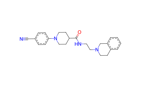 N#Cc1ccc(N2CCC(C(=O)NCCN3CCc4ccccc4C3)CC2)cc1